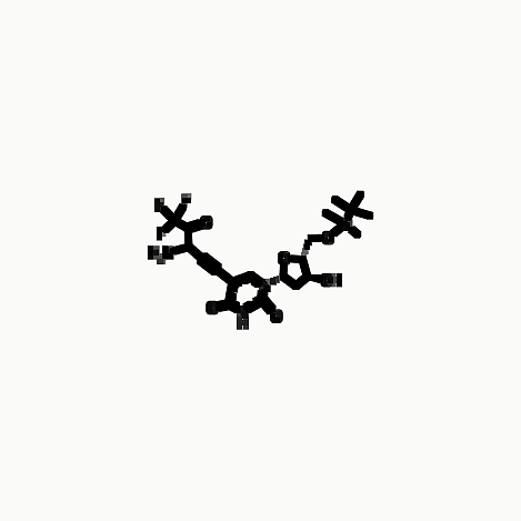 CC(C)(C)[Si](C)(C)OC[C@H]1O[C@@H](n2cc(C#CC(N)C(=O)C(F)(F)F)c(=O)[nH]c2=O)C[C@@H]1O